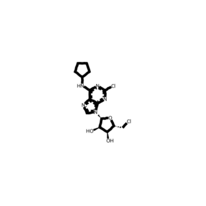 O[C@@H]1[C@H](O)[C@@H](CCl)O[C@H]1n1cnc2c(NC3CCCC3)nc(Cl)nc21